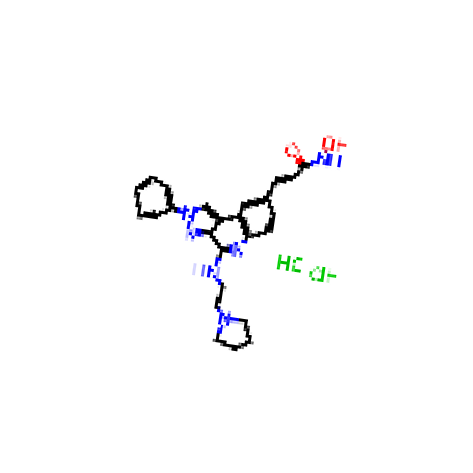 Cl.Cl.O=C(C=Cc1ccc2nc(NCCN3CCCC3)c3nn(-c4ccccc4)cc3c2c1)NO